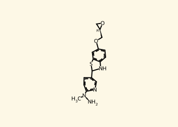 CN(N)c1ccc(C2Nc3ccc(OC[C@H]4CO4)cc3S2)cn1